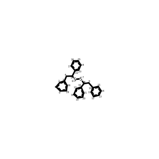 c1ccc(CC(SSC(Cc2ccccc2)c2ccccc2)c2ccccc2)cc1